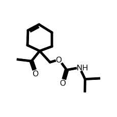 CC(=O)C1(COC(=O)NC(C)C)CC=CCC1